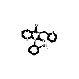 Nc1ccccc1-n1c(=O)n(Cc2ccccn2)c(=O)c2cccnc21